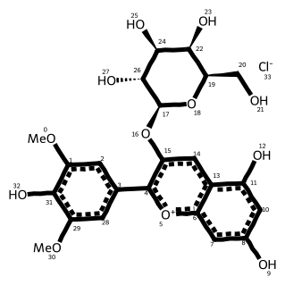 COc1cc(-c2[o+]c3cc(O)cc(O)c3cc2O[C@@H]2O[C@H](CO)[C@H](O)[C@H](O)[C@H]2O)cc(OC)c1O.[Cl-]